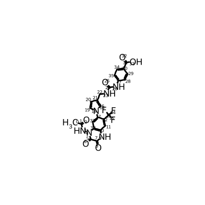 CC(=O)Nn1c(=O)c(=O)[nH]c2cc(C(F)(F)F)c(-n3ccc(CNC(=O)Nc4ccc(C(=O)O)cc4)c3)cc21